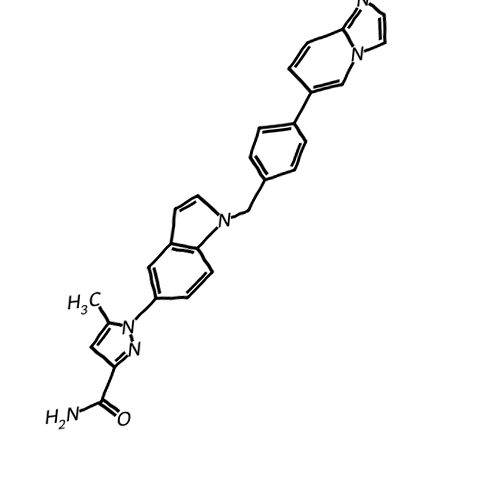 Cc1cc(C(N)=O)nn1-c1ccc2c(ccn2Cc2ccc(-c3ccc4nccn4c3)cc2)c1